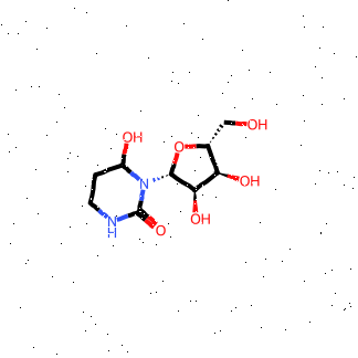 O=C1NCCC(O)N1[C@@H]1O[C@H](CO)[C@@H](O)[C@H]1O